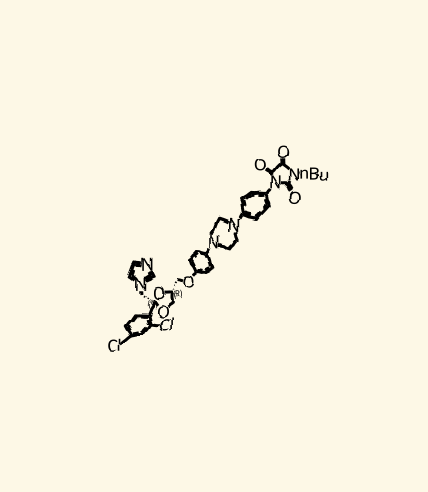 CCCCN1C(=O)C(=O)N(c2ccc(N3CCN(c4ccc(OC[C@@H]5CO[C@@](Cn6ccnc6)(c6ccc(Cl)cc6Cl)O5)cc4)CC3)cc2)C1=O